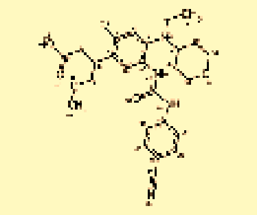 CCN(c1cc(F)c(C(COC)CC(=O)O)cc1NC(=O)Nc1ccc(C#N)cc1)C1CCOCC1